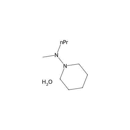 CCCN(C)N1CCCCC1.O